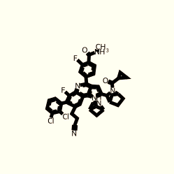 CNC(=O)c1ccc(-c2nc3c(F)c(-c4cccc(Cl)c4Cl)c(CCC#N)cc3c3c2cc(C2C4CCC(C4)N2C(=O)C2CC2)n3C2C3CNC2C3)cc1F